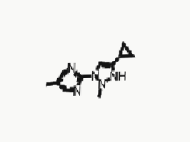 Cc1cnc(N2C=C(C3CC3)NN2C)nc1